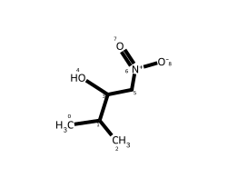 CC(C)C(O)C[N+](=O)[O-]